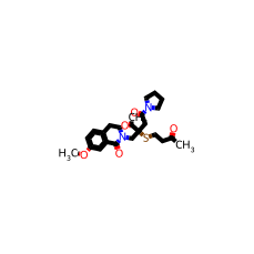 COc1ccc2c(c1)C(=O)N(CC(CC(=O)N1CCCC1)(SCCC(C)=O)C(C)=O)CC2